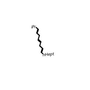 [CH2]CCCCCCC=CCC=CCC=CC(C)C